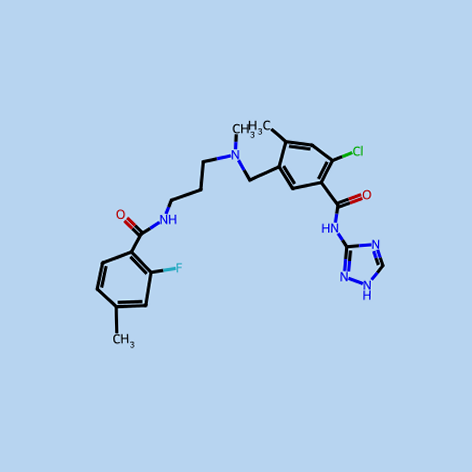 Cc1ccc(C(=O)NCCCN(C)Cc2cc(C(=O)Nc3nc[nH]n3)c(Cl)cc2C)c(F)c1